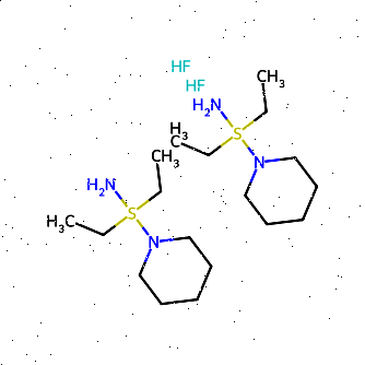 CCS(N)(CC)N1CCCCC1.CCS(N)(CC)N1CCCCC1.F.F